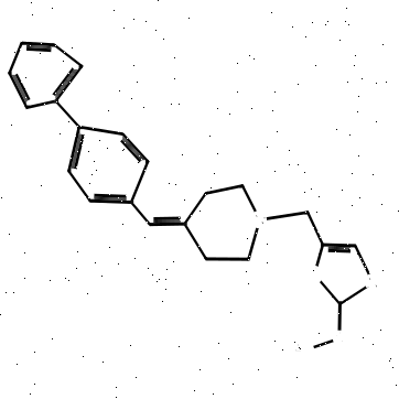 CC(=O)SC1NC=C(CN2CCC(=Cc3ccc(-c4ccccc4)cc3)CC2)S1